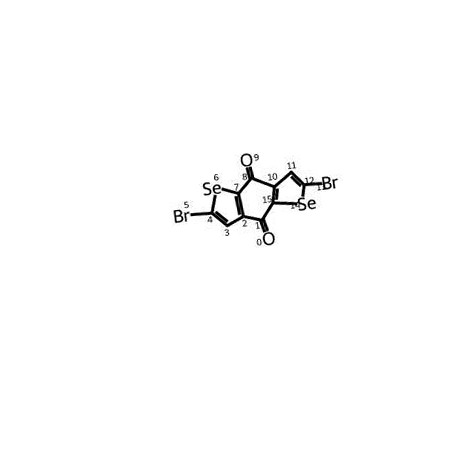 O=C1c2cc(Br)[se]c2C(=O)c2cc(Br)[se]c21